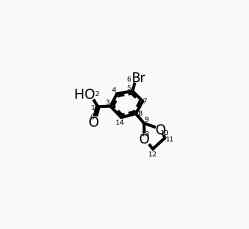 O=C(O)c1cc(Br)cc(C2OCCO2)c1